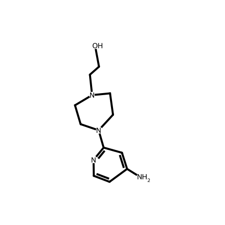 Nc1ccnc(N2CCN(CCO)CC2)c1